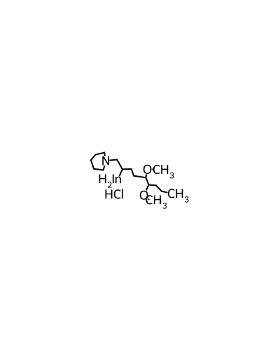 CCCC(OC)C(CC[CH]([InH2])CN1CCCCC1)OC.Cl